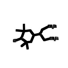 CCOC(=O)CN(CC(=O)OCC)C1CC(C)(C)N(Cl)C(C)(C)C1